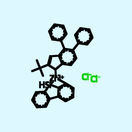 CC(C)(C)C1=Cc2c(ccc(-c3ccccc3)c2-c2ccccc2)[CH]1[Zr+2]1[c]2cccc3c2[SiH]1c1ccccc1-3.[Cl-].[Cl-]